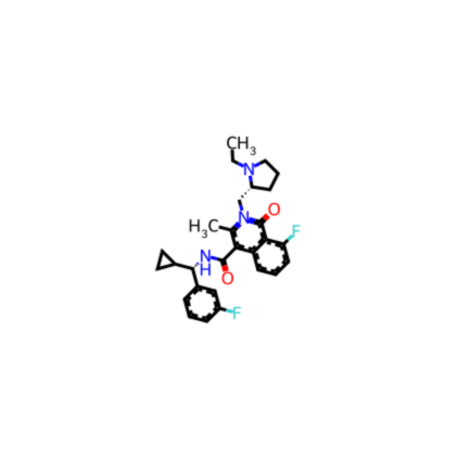 CCN1CCC[C@@H]1Cn1c(C)c(C(=O)N[C@H](c2cccc(F)c2)C2CC2)c2cccc(F)c2c1=O